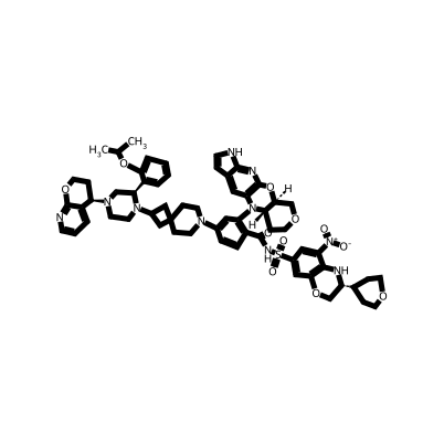 CC(C)Oc1ccccc1[C@@H]1CN([C@@H]2CCOc3ncccc32)CCN1C1CC2(CCN(c3ccc(C(=O)NS(=O)(=O)c4cc5c(c([N+](=O)[O-])c4)N[C@H](C4CCOCC4)CO5)c(N4c5cc6cc[nH]c6nc5O[C@H]5COCC[C@@H]54)c3)CC2)C1